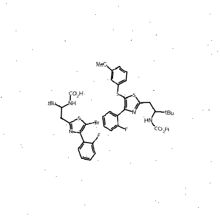 CC(C)(C)C(Cc1nc(-c2ccccc2F)c(Br)s1)NC(=O)O.COc1cccc(Sc2sc(CC(NC(=O)O)C(C)(C)C)nc2-c2ccccc2F)c1